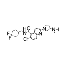 CNC1CCN(c2ccc3c(C(=O)NCC4CCC(F)(F)CC4)c(Cl)ccc3n2)C1